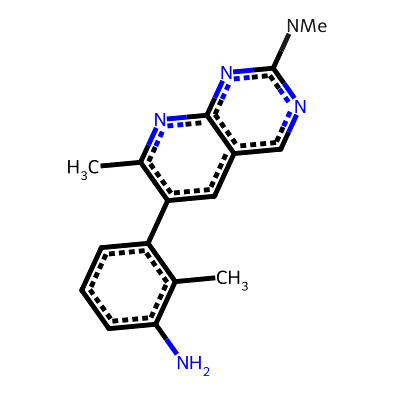 CNc1ncc2cc(-c3cccc(N)c3C)c(C)nc2n1